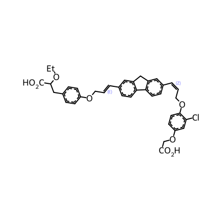 CCOC(Cc1ccc(OC/C=C/c2ccc3c(c2)Cc2cc(/C=C\COc4ccc(OCC(=O)O)cc4Cl)ccc2-3)cc1)C(=O)O